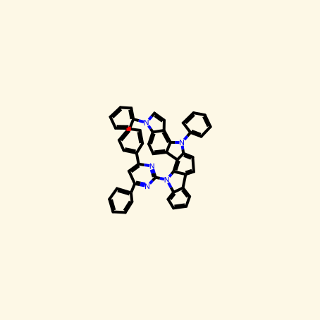 c1ccc(-c2cc(-c3ccccc3)nc(-n3c4ccccc4c4ccc5c(c6ccc7c(ccn7-c7ccccc7)c6n5-c5ccccc5)c43)n2)cc1